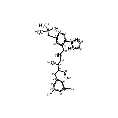 CC(C)(C)Cc1ccc(-c2ncc[nH]2)c(CNCC(O)C(C=O)Cc2cc(F)cc(F)c2)c1